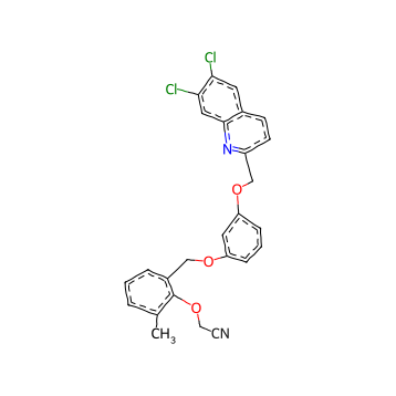 Cc1cccc(COc2cccc(OCc3ccc4cc(Cl)c(Cl)cc4n3)c2)c1OCC#N